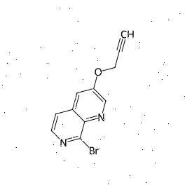 C#CCOc1cnc2c(Br)nccc2c1